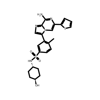 Cc1ccc(S(=O)(=O)N[C@H]2CC[C@H](O)CC2)cc1-c1cnc2c(N)nc(-c3cccs3)cn12